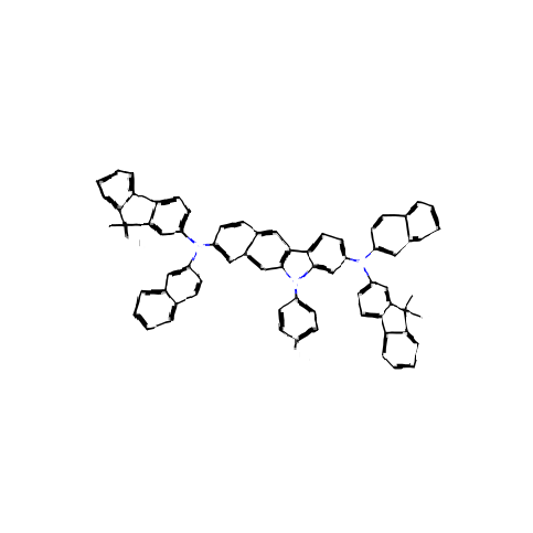 Cc1ccc(-n2c3cc(N(c4ccc5c(c4)C(C)(C)c4ccccc4-5)c4ccc5ccccc5c4)ccc3c3cc4ccc(N(c5ccc6c(c5)C(C)(C)c5ccccc5-6)c5ccc6ccccc6c5)cc4cc32)cc1